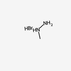 Br.CNN